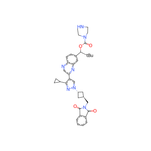 CC(C)(C)C(OC(=O)N1CCNCC1)c1ccc2ncc(-c3cn([C@H]4C[C@H](CN5C(=O)c6ccccc6C5=O)C4)nc3C3CC3)nc2c1